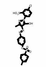 Cc1ccc(S(=O)(=O)Oc2ccc(N=Nc3c(C)nn(-c4ccc(Cl)cc4S(=O)(=O)O)c3O)cc2)cc1